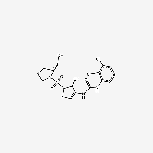 O=C(NC1=CSC(S(=O)(=O)N2CCC[C@H]2CO)C1O)Nc1cccc(Cl)c1Cl